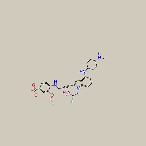 CCOc1cc(S(C)(=O)=O)ccc1NCC#Cc1cc2c(n1CC(F)P)=CCCC=2NC1CCC(N(C)C)CC1